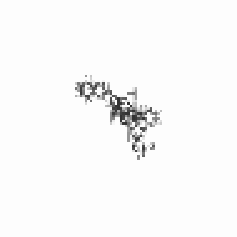 CC(C)Oc1ccc([C@](O)([C@@H](C)NC(=O)C(F)(F)CCc2ccc3ccccc3c2)N2CCCC2)cn1